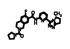 C[C@@H]1CCc2nnc(-c3cccc(NC(=O)c4cc5c(cc4F)CCN(C(=O)N4CCCC4)C5)n3)n21